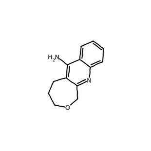 Nc1c2c(nc3ccccc13)COCCC2